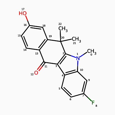 Cn1c2c(c3ccc(F)cc31)C(=O)c1ccc(O)cc1C2(C)C